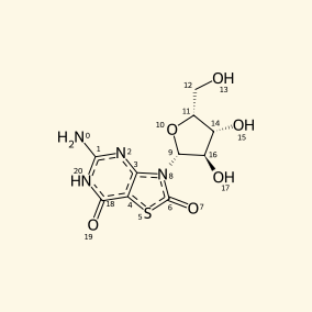 Nc1nc2c(sc(=O)n2[C@@H]2O[C@H](CO)[C@H](O)[C@H]2O)c(=O)[nH]1